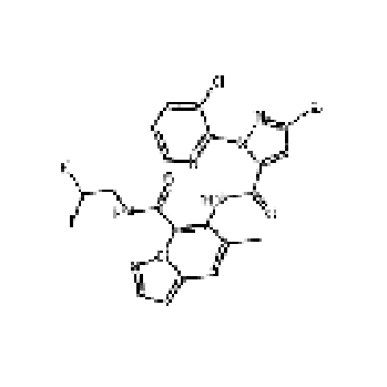 Cc1cc2ccnn2c(C(=O)NCC(F)F)c1NC(=O)c1cc(Br)nn1-c1ncccc1Cl